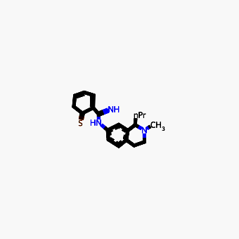 CCCC1c2cc(NC(=N)C3=CC=CCC3=S)ccc2CCN1C